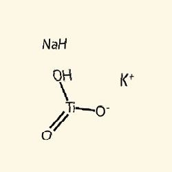 [K+].[NaH].[O]=[Ti]([O-])[OH]